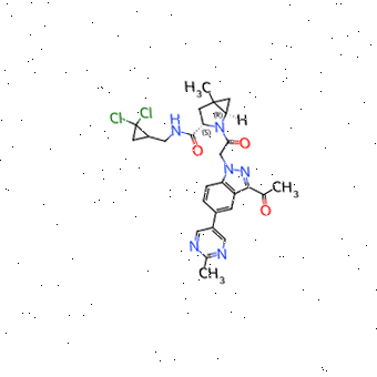 CC(=O)c1nn(CC(=O)N2[C@H](C(=O)NCC3CC3(Cl)Cl)CC3(C)C[C@@H]23)c2ccc(-c3cnc(C)nc3)cc12